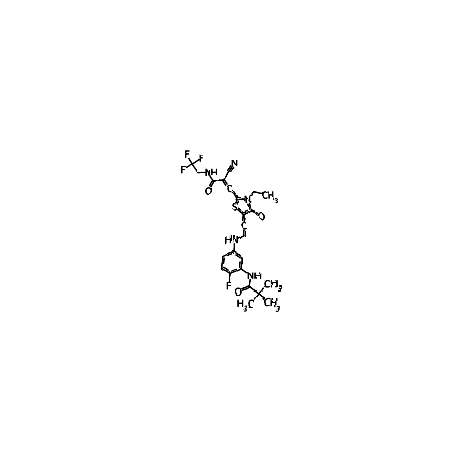 CCn1c(=C=C(C#N)C(=O)NCC(F)(F)F)sc(=C=CNc2ccc(F)c(NC(=O)C(C)(C)C)c2)c1=O